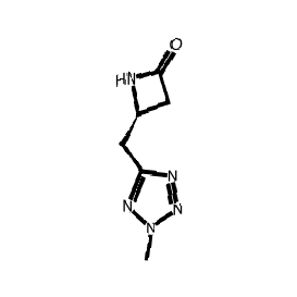 Cn1nnc(C[C@@H]2CC(=O)N2)n1